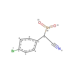 N#CC(c1ccc(Br)cc1)[SH](=O)=O